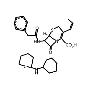 C/C=C\C1=C(C(=O)O)N2C(=O)C(NC(=O)Cc3ccccc3)[C@H]2SC1.C1CCC(NC2CCCCC2)CC1